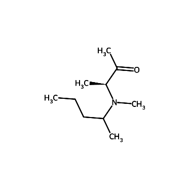 CCCC(C)N(C)[C@@H](C)C(C)=O